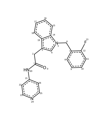 O=C(Cc1cn(Cc2ccccc2F)c2ccccc12)Nc1ccncc1